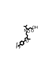 CC1=C(CCc2nc(C(C)C)c(CC(=O)O)o2)CC(c2ccc(C(F)(F)F)cc2)O1